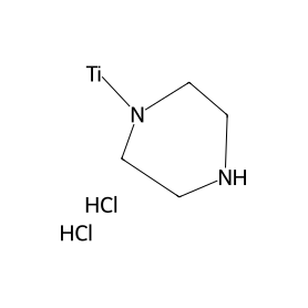 Cl.Cl.[Ti][N]1CCNCC1